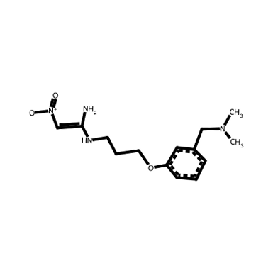 CN(C)Cc1cccc(OCCCNC(N)=C[N+](=O)[O-])c1